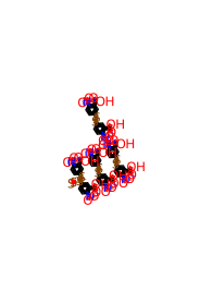 O=C(O)c1cc(SSc2ccc([N+](=O)[O-])c(C(=O)O)c2)ccc1[N+](=O)[O-].O=C(O)c1cc(SSc2ccc([N+](=O)[O-])c(C(=O)O)c2)ccc1[N+](=O)[O-].O=C(O)c1cc(SSc2ccc([N+](=O)[O-])c(C(=O)O)c2)ccc1[N+](=O)[O-].O=C(O)c1cc(SSc2ccc([N+](=O)[O-])c(C(=O)O)c2)ccc1[N+](=O)[O-].[S-2].[S-2]